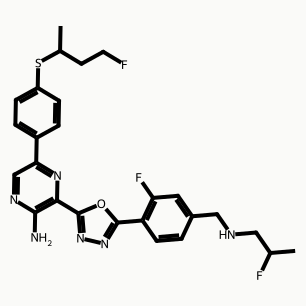 CC(F)CNCc1ccc(-c2nnc(-c3nc(-c4ccc(SC(C)CCF)cc4)cnc3N)o2)c(F)c1